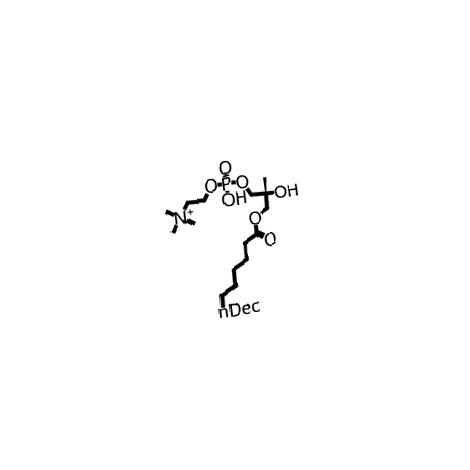 CCCCCCCCCCCCCCCC(=O)OC[C@@](C)(O)COP(=O)(O)OCC[N+](C)(C)C